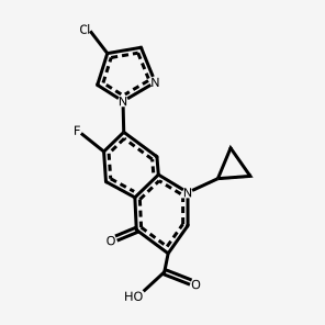 O=C(O)c1cn(C2CC2)c2cc(-n3cc(Cl)cn3)c(F)cc2c1=O